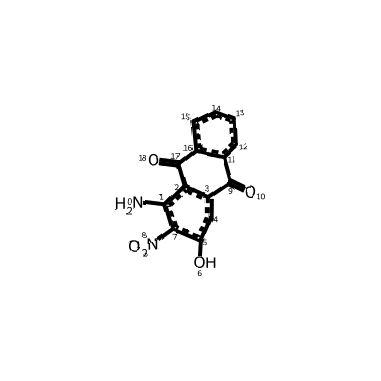 Nc1c2c(cc(O)c1[N+](=O)[O-])C(=O)c1ccccc1C2=O